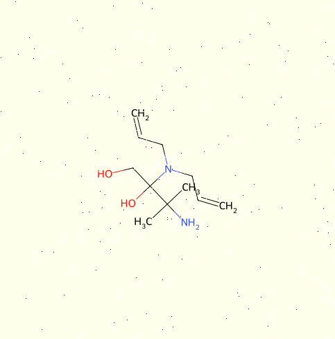 C=CCN(CC=C)C(O)(CO)C(C)(C)N